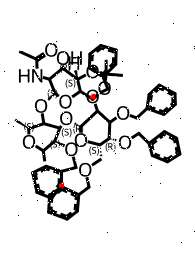 CC(=O)NC1[C@H](OC2[C@H](C)OC(C)[C@H](OCc3ccccc3)[C@@H]2O[C@H]2O[C@@H](COCc3ccccc3)[C@@H](OCc3ccccc3)C(OCc3ccccc3)C2OCc2ccccc2)OC2COC(C)(C)O[C@H]2[C@@H]1O